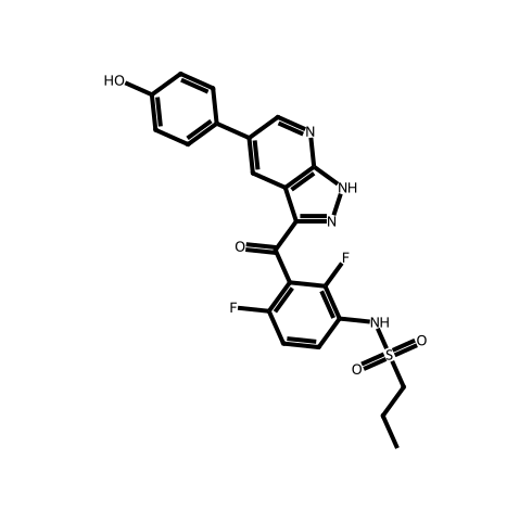 CCCS(=O)(=O)Nc1ccc(F)c(C(=O)c2n[nH]c3ncc(-c4ccc(O)cc4)cc23)c1F